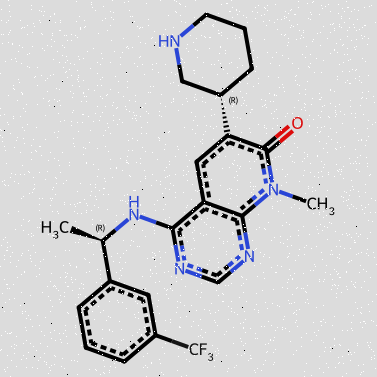 C[C@@H](Nc1ncnc2c1cc([C@H]1CCCNC1)c(=O)n2C)c1cccc(C(F)(F)F)c1